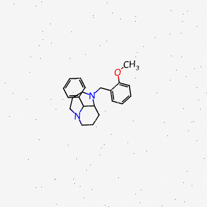 COc1ccccc1CN1CCCN2CCCC1C2c1ccccc1